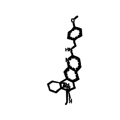 COc1ccc(CNc2ccc3cc4c(cc3n2)[C@@]23CCCC[C@H]2[C@@H](C4)N(C)CC3)cc1